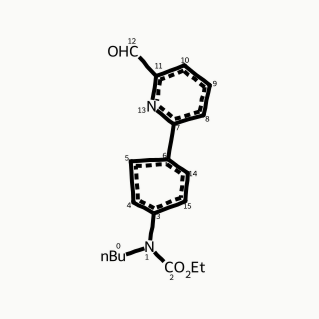 CCCCN(C(=O)OCC)c1ccc(-c2cccc(C=O)n2)cc1